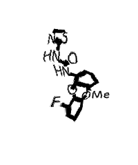 COc1cccc(F)c1Oc1c(F)cccc1NC(=O)Nc1nccs1